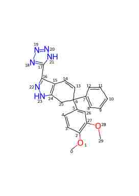 COc1ccc(C2(c3ccccc3)C=Cc3c(-c4nnn[nH]4)n[nH]c3C2)cc1OC